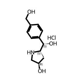 Cl.OCc1ccc([C@H](O)[C@@H]2C[C@@H](O)CN2)cc1